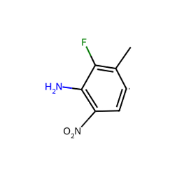 Cc1[c]cc([N+](=O)[O-])c(N)c1F